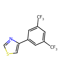 FC(F)(F)c1cc(-c2cscn2)cc(C(F)(F)F)c1